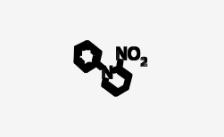 O=[N+]([O-])C1=CCC=CN1c1ccccc1